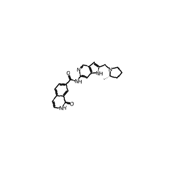 C[C@H]1CCCN1Cc1cc2cnc(NC(=O)c3ccc4cc[nH]c(=O)c4c3)cc2[nH]1